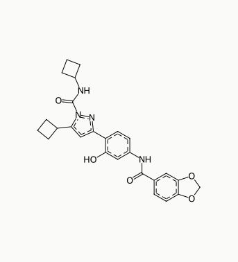 O=C(Nc1ccc(-c2cc(C3CCC3)n(C(=O)NC3CCC3)n2)c(O)c1)c1ccc2c(c1)OCO2